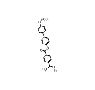 CCCCCCCCOc1ccc(-c2ccc(OC(=O)c3ccc(C(C)OCC)cc3)cc2)cc1